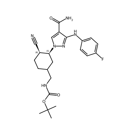 CC(C)(C)OC(=O)NCC1CC[C@@H](C#N)[C@@H](n2cc(C(N)=O)c(Nc3ccc(F)cc3)n2)C1